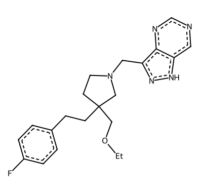 CCOCC1(CCc2ccc(F)cc2)CCN(Cc2n[nH]c3cncnc23)C1